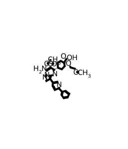 COCCO[C@]1(C(=O)O)CC[C@H](c2nc3c(-c4ccc(-c5ccccc5)nc4)cnn3c(N)c2S(C)(=O)=O)CC1